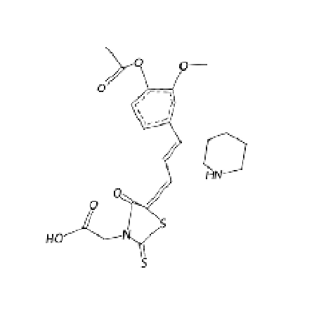 C1CCNCC1.COc1cc(C=CC=C2SC(=S)N(CC(=O)O)C2=O)ccc1OC(C)=O